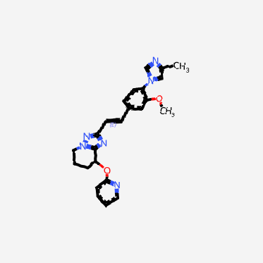 COc1cc(/C=C/c2nc3n(n2)CCCC3Oc2ccccn2)ccc1-n1cnc(C)c1